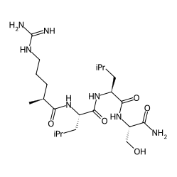 CC(C)C[C@H](NC(=O)[C@H](CC(C)C)NC(=O)[C@@H](C)CCCNC(=N)N)C(=O)N[C@@H](CO)C(N)=O